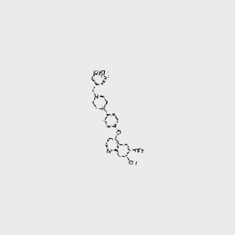 C/C=C\C(=C/C)CN1CCN(c2ccc(Oc3ccnc4cc(O)c(CCC)cc34)cc2)CC1